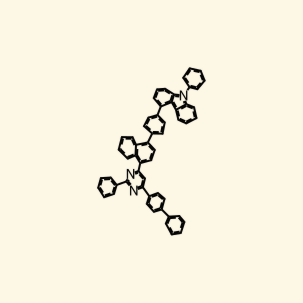 c1ccc(-c2ccc(-c3cc(-c4ccc(-c5ccc(-c6cccc7c6c6ccccc6n7-c6ccccc6)cc5)c5ccccc45)nc(-c4ccccc4)n3)cc2)cc1